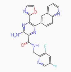 Nc1nc(-c2ncco2)c(-c2ccc3ncccc3c2)nc1C(=O)NCc1ncc(F)cc1F